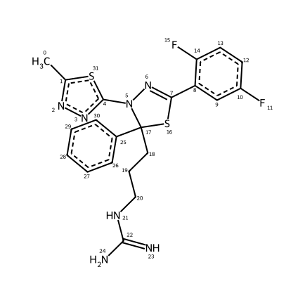 Cc1nnc(N2N=C(c3cc(F)ccc3F)SC2(CCCNC(=N)N)c2ccccc2)s1